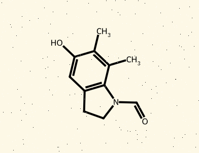 Cc1c(O)cc2c(c1C)N(C=O)CC2